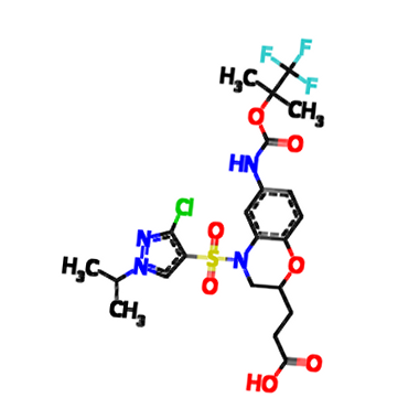 CC(C)n1cc(S(=O)(=O)N2CC(CCC(=O)O)Oc3ccc(NC(=O)OC(C)(C)C(F)(F)F)cc32)c(Cl)n1